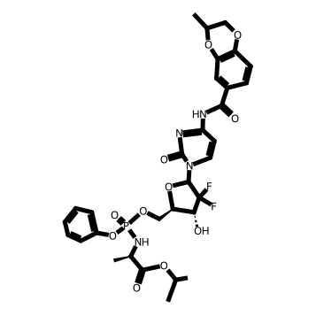 CC(C)OC(=O)[C@@H](C)NP(=O)(OC[C@H]1OC(n2ccc(NC(=O)c3ccc4c(c3)OC(C)CO4)nc2=O)C(F)(F)[C@@H]1O)Oc1ccccc1